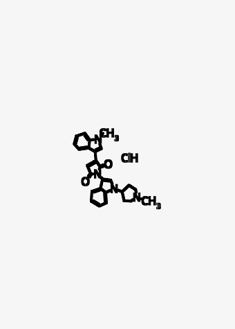 CN1CCC(n2cc(N3C(=O)C=C(c4cn(C)c5ccccc45)C3=O)c3ccccc32)CC1.Cl